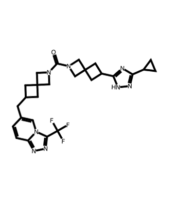 O=C(N1CC2(CC(Cc3ccc4nnc(C(F)(F)F)n4c3)C2)C1)N1CC2(CC(c3nc(C4CC4)n[nH]3)C2)C1